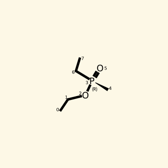 CCO[P@@](C)(=O)CC